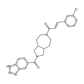 O=C(/C=C/c1cccc(Cl)c1)N1CCC2CN(C(=O)c3ccc4[nH]nnc4c3)CC2CC1